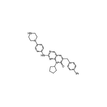 CC(C)c1ccc(Cc2cc3cnc(Nc4ccc(N5CCNCC5)cc4)nc3n(C3CCCC3)c2=O)cc1